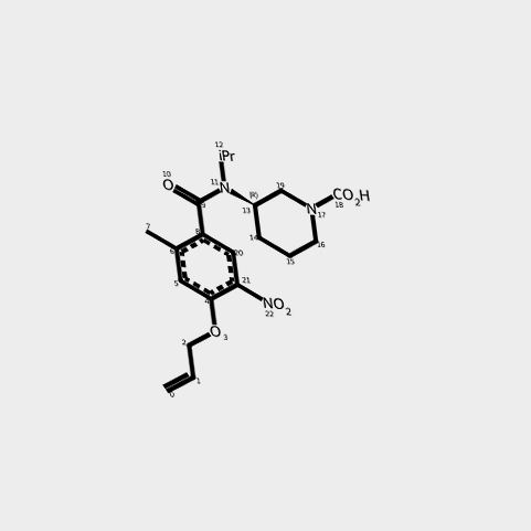 C=CCOc1cc(C)c(C(=O)N(C(C)C)[C@@H]2CCCN(C(=O)O)C2)cc1[N+](=O)[O-]